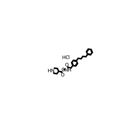 Cl.O=C(Cc1ccc(CCCCc2ccccc2)cc1)NOC(=O)C1CCNCC1